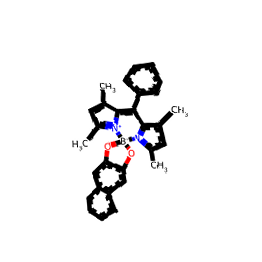 CC1=CC(C)=[N+]2C1=C(c1ccccc1)c1c(C)cc(C)n1[B-]21Oc2cc3ccccc3cc2O1